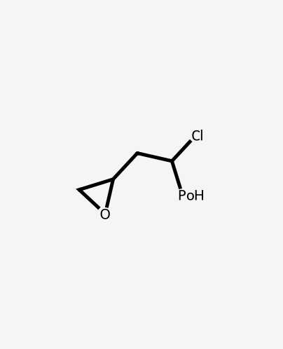 Cl[CH]([PoH])CC1CO1